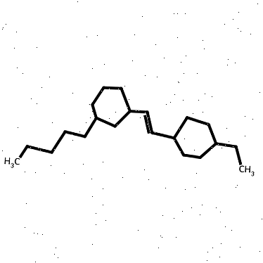 CCCCCC1[CH]CCC(C=CC2CCC(CC)CC2)C1